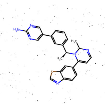 CC1N=CC=C(c2ccc3ncsc3c2)N1[C@@H](C)c1cccc(-c2cnc(N)nc2)c1